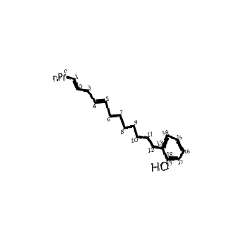 CCCC=CCC=CCCCCCCCc1ccccc1O